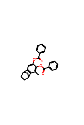 Cc1c(OC(=O)c2ccccc2)c(OC(=O)c2ccccc2)cc2c1C1CCC2C1